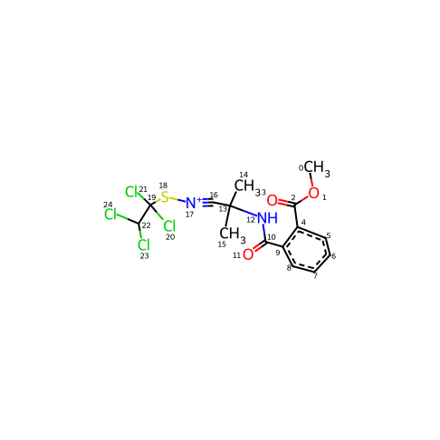 COC(=O)c1ccccc1C(=O)NC(C)(C)C#[N+]SC(Cl)(Cl)C(Cl)Cl